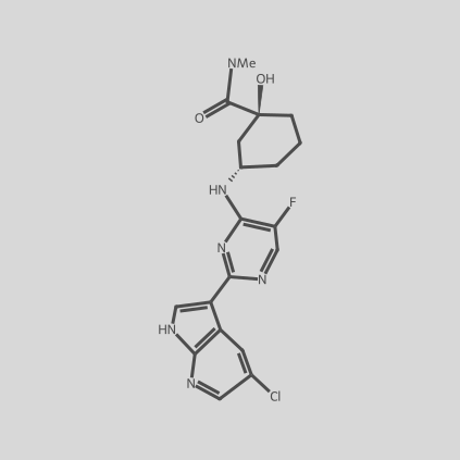 CNC(=O)[C@]1(O)CCC[C@H](Nc2nc(-c3c[nH]c4ncc(Cl)cc34)ncc2F)C1